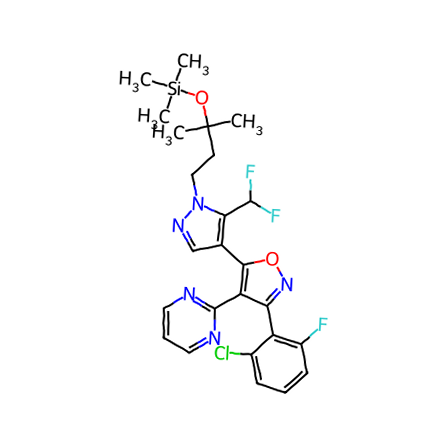 CC(C)(CCn1ncc(-c2onc(-c3c(F)cccc3Cl)c2-c2ncccn2)c1C(F)F)O[Si](C)(C)C